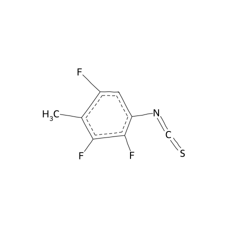 Cc1c(F)cc(N=C=S)c(F)c1F